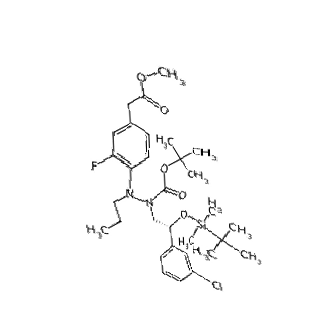 CCCN(c1ccc(CC(=O)OC)cc1F)N(C[C@H](O[Si](C)(C)C(C)(C)C)c1cccc(Cl)c1)C(=O)OC(C)(C)C